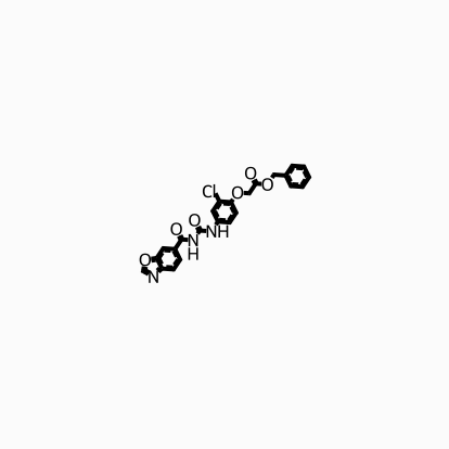 O=C(NC(=O)c1ccc2ncoc2c1)Nc1ccc(OCC(=O)OCc2ccccc2)c(Cl)c1